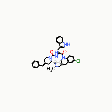 CN(C)C[C@@H]1Cc2cc(Cl)ccc2N(C(=O)[C@@H](Cc2c[nH]c3ccccc23)NC(=O)N2CCC(=Cc3ccccc3)CC2)C1